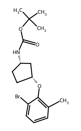 Cc1cccc(Br)c1O[C@@H]1CC[C@H](NC(=O)OC(C)(C)C)C1